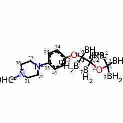 BC(B)(B)OC(B)(B)C(B)(B)Oc1ccc(N2CCN(C=O)CC2)cc1